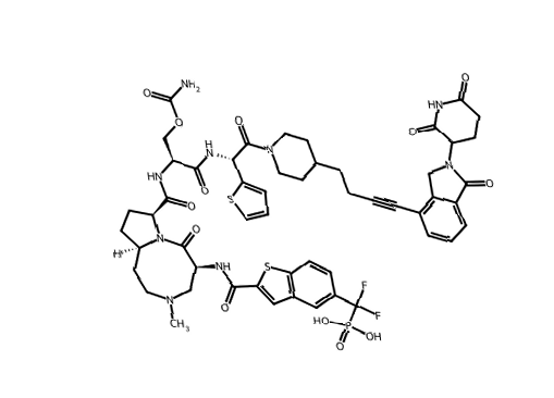 CN1CC[C@H]2CC[C@@H](C(=O)N[C@@H](COC(N)=O)C(=O)N[C@H](C(=O)N3CCC(CCC#Cc4cccc5c4CN(C4CCC(=O)NC4=O)C5=O)CC3)c3cccs3)N2C(=O)[C@@H](NC(=O)c2cc3cc(C(F)(F)P(=O)(O)O)ccc3s2)C1